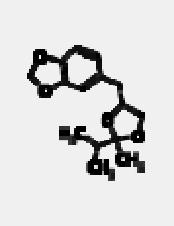 CC(C)C1(C)OCC(Cc2ccc3c(c2)OCO3)O1